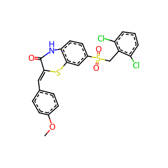 COc1ccc(/C=C2\Sc3cc(S(=O)(=O)Cc4c(Cl)cccc4Cl)ccc3NC2=O)cc1